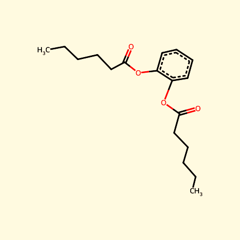 CCCCCC(=O)Oc1ccccc1OC(=O)CCCCC